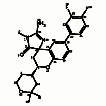 CN1C(=O)C2(C[C@H](C3CCOC(C)(C)C3)Oc3ccc(-c4ccc(F)c(F)c4)cc32)N=C1N